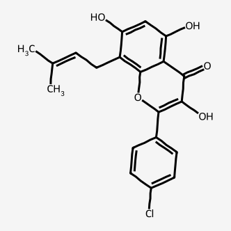 CC(C)=CCc1c(O)cc(O)c2c(=O)c(O)c(-c3ccc(Cl)cc3)oc12